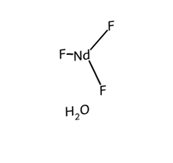 O.[F][Nd]([F])[F]